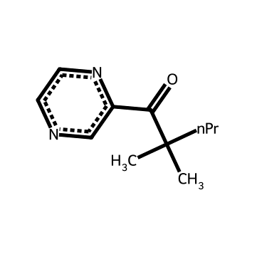 CCCC(C)(C)C(=O)c1cnccn1